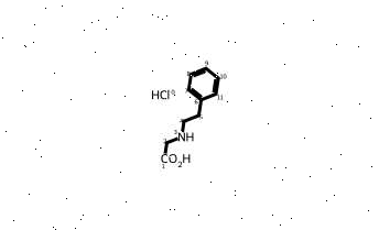 Cl.O=C(O)CNCCc1ccccc1